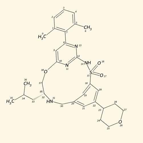 Cc1cccc(C)c1-c1cc2nc(n1)NS(=O)(=O)c1cc(cc(C3CCOCC3)c1)CN[C@H](CC(C)C)CO2